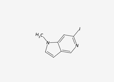 Cn1ccc2cnc(I)cc21